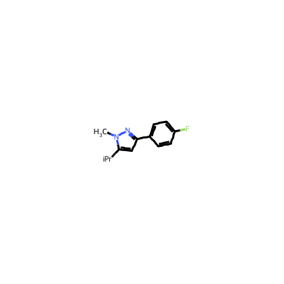 CC(C)c1cc(-c2ccc(F)cc2)nn1C